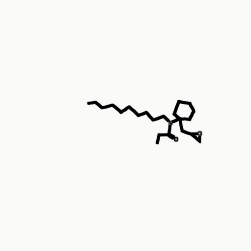 CCCCCCCCCCN(C(=O)CC)C1(CC2CO2)CCCCC1